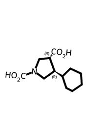 O=C(O)[C@H]1CN(C(=O)O)C[C@@H]1C1CCCCC1